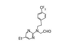 CCc1cnc(N(CC=O)CCc2ccc(C(F)(F)F)cc2)nc1